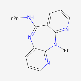 CCCNC1=Nc2cccnc2N(CC)c2ncccc21